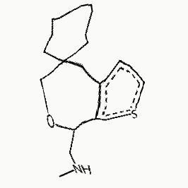 CNC1OCC2(CCCC2)c2ccsc21